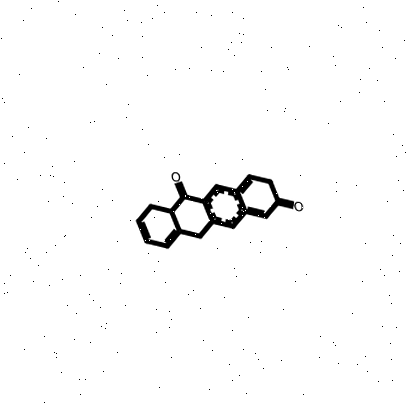 O=C1C=c2cc3c(cc2=CC1)C(=O)C1CC=CC=C1C3